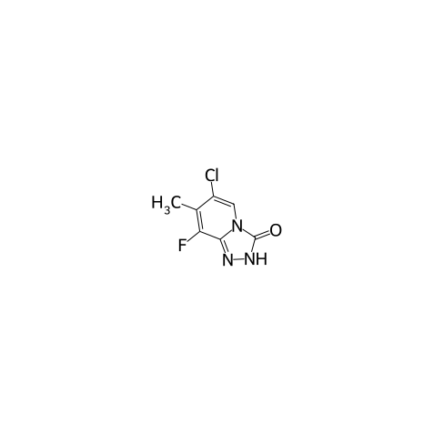 Cc1c(Cl)cn2c(=O)[nH]nc2c1F